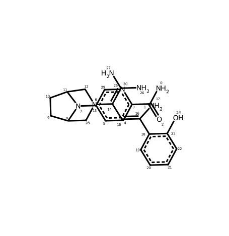 NC(=O)c1ccc(N2C3CCC2CN(C(/C=C(\N)c2ccccc2O)=C(N)N)C3)cn1